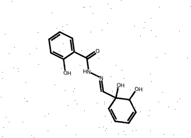 O=C(NN=CC1(O)C=CC=CC1O)c1ccccc1O